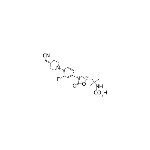 CC(C)(C[C@H]1CN(c2ccc(N3CCC(=CC#N)CC3)c(F)c2)C(=O)O1)NC(=O)O